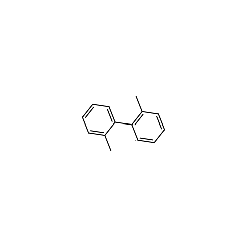 Cc1ccc[c]c1-c1ccccc1C